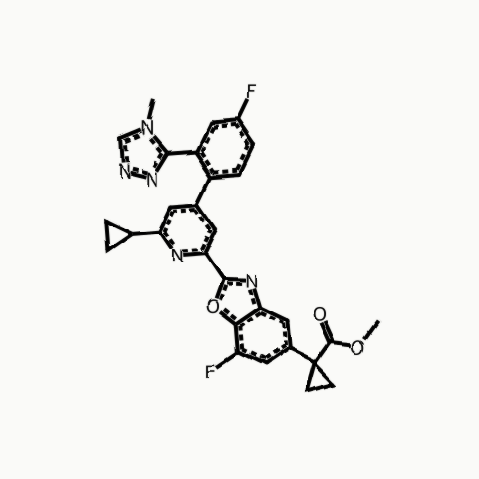 COC(=O)C1(c2cc(F)c3oc(-c4cc(-c5ccc(F)cc5-c5nncn5C)cc(C5CC5)n4)nc3c2)CC1